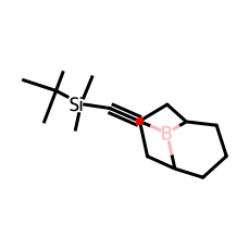 CC(C)(C)[Si](C)(C)C#CB1C2CCCC1CCC2